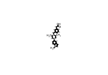 C[C@@H]1CN(c2ccc3c(ccn3C)c2)C[C@H](C)N1Cc1cccc(CC(=O)O)c1